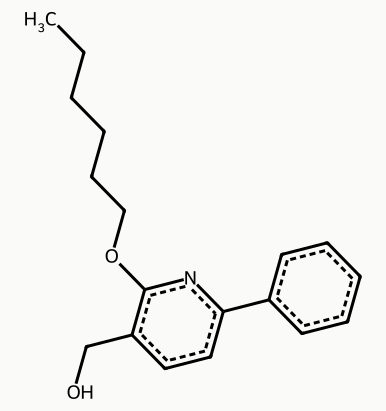 CCCCCCOc1nc(-c2ccccc2)ccc1CO